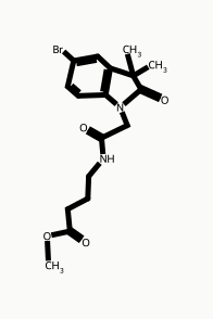 COC(=O)CCCNC(=O)CN1C(=O)C(C)(C)c2cc(Br)ccc21